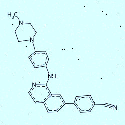 CN1CCN(c2ccc(Nc3nccc4ccc(-c5ccc(C#N)cc5)cc34)cc2)CC1